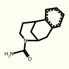 NC(=O)N1CCC2CC1Cc1ccccc12